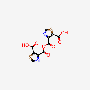 O=C(OC(=O)c1ncsc1C(=O)O)c1ncsc1C(=O)O